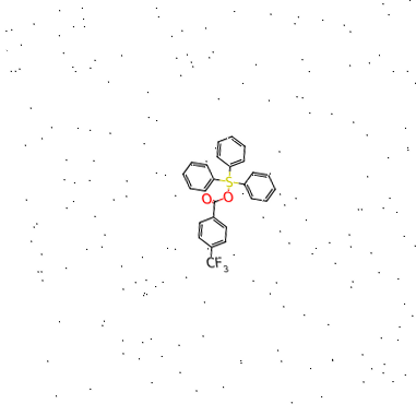 O=C(OS(c1ccccc1)(c1ccccc1)c1ccccc1)c1ccc(C(F)(F)F)cc1